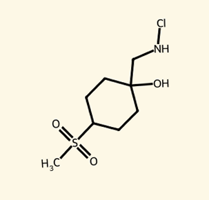 CS(=O)(=O)C1CCC(O)(CNCl)CC1